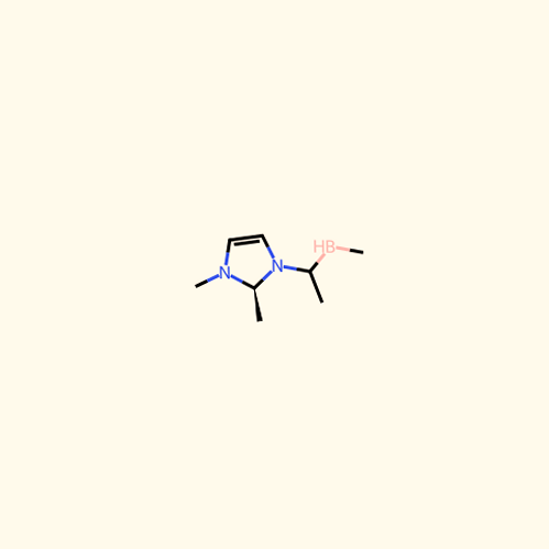 CBC(C)N1C=CN(C)[C@@H]1C